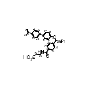 C=C(C)c1ccc(-c2ccc(OC(CCC)c3ccc(C(=O)NCCC(=O)O)cc3)cc2)cc1